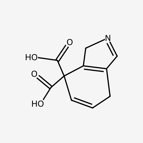 O=C(O)C1(C(=O)O)C=CCC2=C1CN=C2